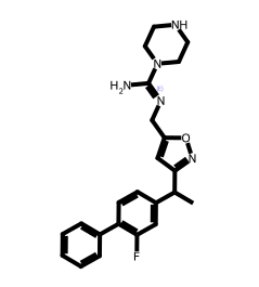 CC(c1ccc(-c2ccccc2)c(F)c1)c1cc(C/N=C(\N)N2CCNCC2)on1